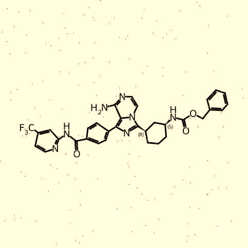 Nc1nccn2c([C@@H]3CCC[C@H](NC(=O)OCc4ccccc4)C3)nc(-c3ccc(C(=O)Nc4cc(C(F)(F)F)ccn4)cc3)c12